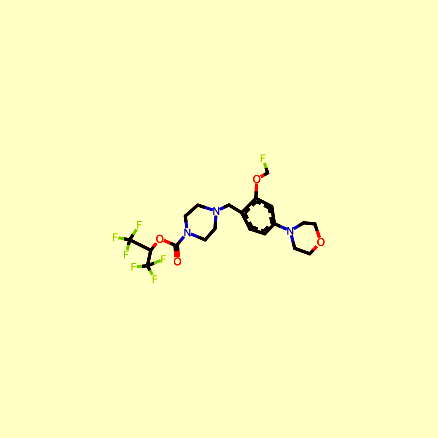 O=C(OC(C(F)(F)F)C(F)(F)F)N1CCN(Cc2ccc(N3CCOCC3)cc2OCF)CC1